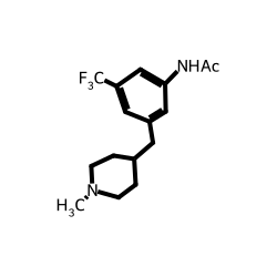 CC(=O)Nc1cc(CC2CCN(C)CC2)cc(C(F)(F)F)c1